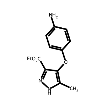 CCOC(=O)c1n[nH]c(C)c1Oc1ccc(N)cc1